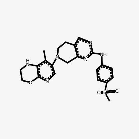 Cc1c(N2CCc3cnc(Nc4ccc(S(C)(=O)=O)cc4)nc3C2)cnc2c1NCCO2